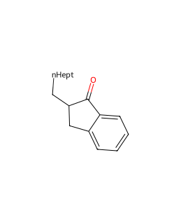 CCCCCCCCC1Cc2ccccc2C1=O